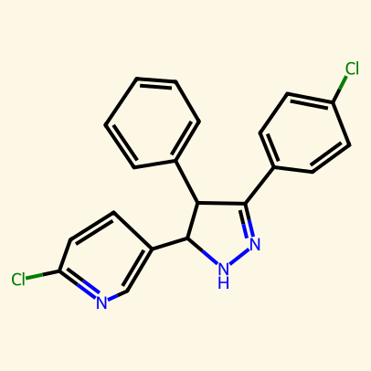 Clc1ccc(C2=NNC(c3ccc(Cl)nc3)C2c2ccccc2)cc1